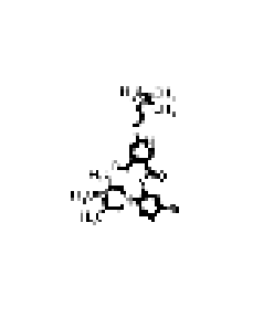 C[C@@H]1CN(c2cc(F)c(Br)cc2NC(=O)c2cnc(OCC[Si](C)(C)C)cc2CF)C[C@H](C)N1C